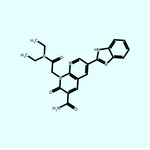 CCN(CC)C(=O)Cn1c(=O)c(C(N)=O)cc2cc(-c3nc4ccccc4[nH]3)cnc21